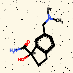 CC(C)N(C)Cc1ccc2c(c1)[C@@](O)(C(N)=O)CC2